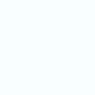 CCCCCOc1ccc(C(=O)OCC(OC(=O)c2ccc(OCCCCC)cc2)c2ccccc2)cc1